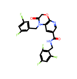 O=C(NCc1c(F)cc(F)cc1F)c1cnc2c(c1)N(Cc1cc(F)cc(F)c1)C(=O)CO2